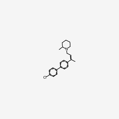 CC(=CCN1CCCCC1C)c1ccc(-c2ccc(Cl)cc2)cc1